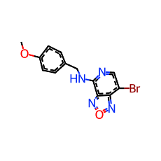 COc1ccc(CNc2ncc(Br)c3nonc23)cc1